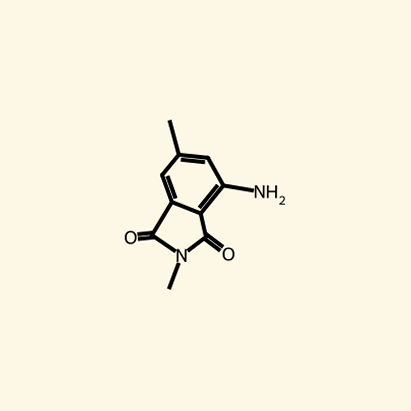 Cc1cc(N)c2c(c1)C(=O)N(C)C2=O